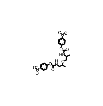 CC(COC(C)CNC(=O)Oc1ccc([N+](=O)[O-])cc1)NC(=O)Oc1ccc([N+](=O)[O-])cc1